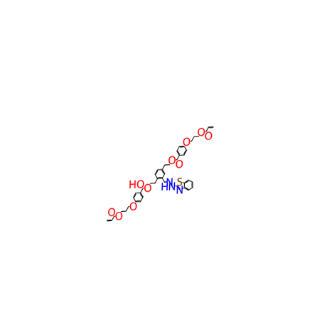 C=CC(=O)OCCCOc1ccc(C(=O)OCCc2ccc(CCOC(O)c3ccc(OCCCOC(=O)C=C)cc3)c(/C=N/Nc3nc4ccccc4s3)c2)cc1